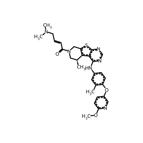 COc1ccc(Oc2ccc(Nc3ncnc4sc5c(c34)[C@@H](C)CN(C(=O)C=CCN(C)C)C5)cc2C)cn1